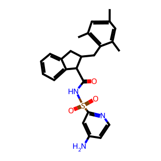 Cc1cc(C)c(CC2Cc3ccccc3C2C(=O)NS(=O)(=O)c2cc(N)ccn2)c(C)c1